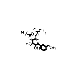 CC(=O)OC[C@H]1OC(c2cccc(CO)c2)[C@@H](O)[C@@H](O)[C@@H]1OC(C)=O